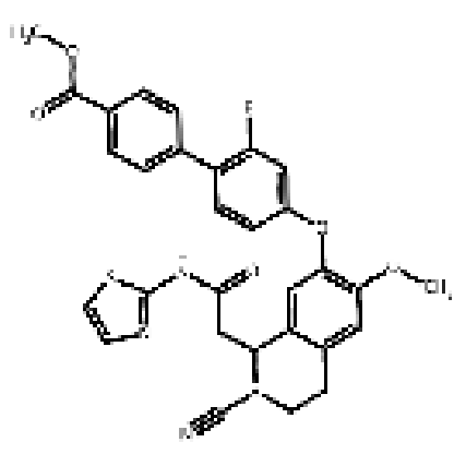 COC(=O)c1ccc(-c2ccc(Oc3cc4c(cc3OC)CCB(C#N)C4CC(=O)Nc3nccs3)cc2F)cc1